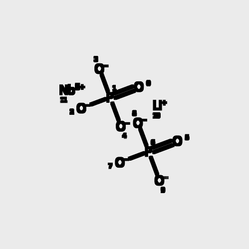 O=P([O-])([O-])[O-].O=P([O-])([O-])[O-].[Li+].[Nb+5]